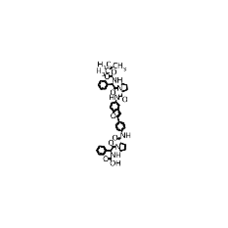 CC(C)(C)OC(=O)N[C@H](C(=O)N1CCC[C@H]1C(=O)Nc1ccc2oc(-c3ccc(NC(=O)[C@@H]4CCCN4C(=O)[C@@H](NC(=O)O)c4ccccc4)cc3)cc2c1)c1ccccc1